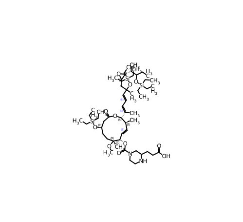 CCC(O[Si](CC)(CC)CC)C(C)[C@H]1O[C@@H]1CC(C)(/C=C/C=C(\C)[C@H]1OC(=O)C[C@H](O[Si](CC)(CC)CC)CC[C@@](C)(OC)[C@@H](OC(=O)N2CCNC(CCC(=O)O)C2)/C=C/[C@@H]1C)O[Si](CC)(CC)CC